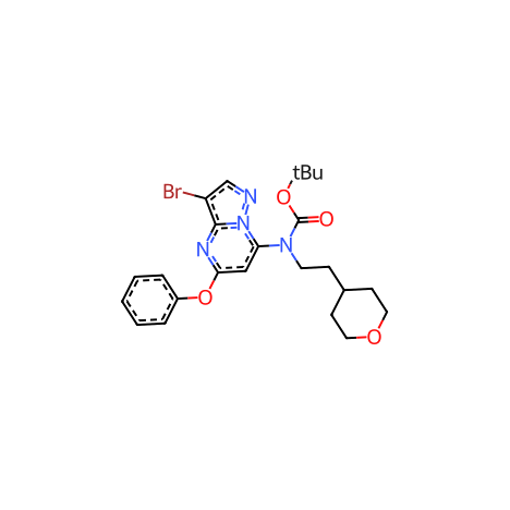 CC(C)(C)OC(=O)N(CCC1CCOCC1)c1cc(Oc2ccccc2)nc2c(Br)cnn12